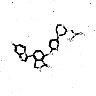 CN(C)C[C@@H]1CN(c2ccc(Nc3ccc(-c4cnc5cc(F)ccn45)c4c3C(=O)NC4)nc2)CCO1